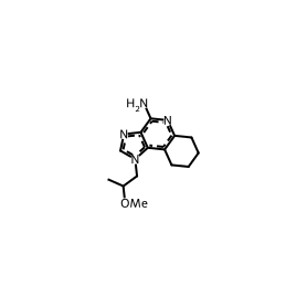 COC(C)Cn1cnc2c(N)nc3c(c21)CCCC3